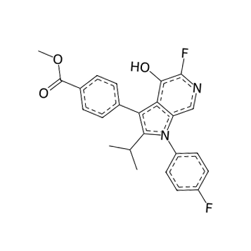 COC(=O)c1ccc(-c2c(C(C)C)n(-c3ccc(F)cc3)c3cnc(F)c(O)c23)cc1